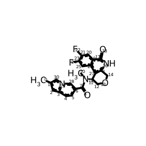 Cc1cc2ccc(C(=O)N(C)[C@@H]3COCc4[nH]c(=O)c5cc(F)c(F)cc5c43)cn2c1